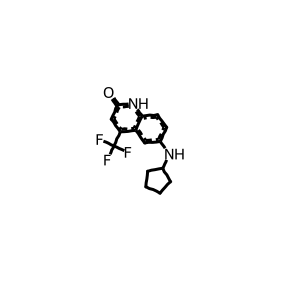 O=c1cc(C(F)(F)F)c2cc(NC3CCCC3)ccc2[nH]1